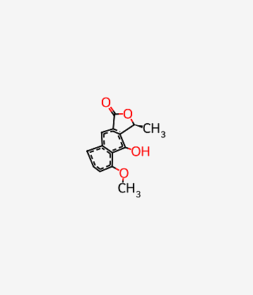 COc1cccc2cc3c(c(O)c12)[C@H](C)OC3=O